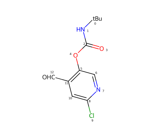 CC(C)(C)NC(=O)Oc1cnc(Cl)cc1C=O